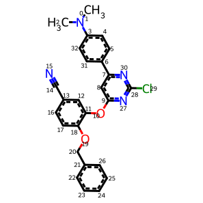 CN(C)c1ccc(-c2cc(Oc3cc(C#N)ccc3OCc3ccccc3)nc(Cl)n2)cc1